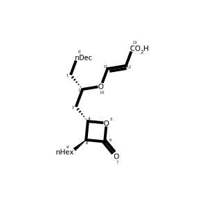 CCCCCCCCCCC[C@@H](C[C@@H]1OC(=O)[C@H]1CCCCCC)OC=CC(=O)O